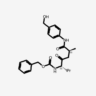 CC(C)[C@H](NC(=O)OCc1ccccc1)C(=O)C[C@H](C)C(=O)Nc1ccc(CO)cc1